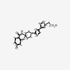 O=C(O)Cn1nnc(-c2cnc(N3CCC4(CC3)NC(=O)c3ccc(Cl)cc3O4)s2)n1